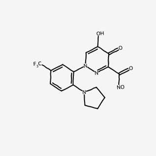 O=NC(=O)c1nn(-c2cc(C(F)(F)F)ccc2N2CCCC2)cc(O)c1=O